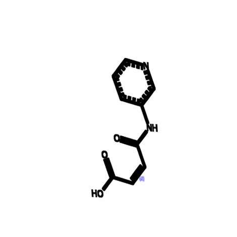 O=C(O)/C=C\C(=O)Nc1cccnc1